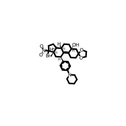 C[C@]12C[C@H](c3ccc(N4CCCCC4)cc3)C3=C4CCC5(C[C@]4(O)CC[C@H]3[C@@H]1CCC2(Br)[N+](=O)[O-])OCCO5